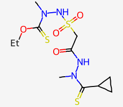 CCOC(=S)N(C)NS(=O)(=O)CC(=O)NN(C)C(=S)C1CC1